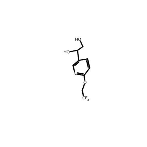 OCC(O)c1ccc(OCC(F)(F)F)nc1